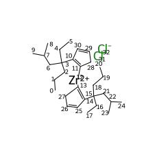 CCCC(CC)(CC(C)C)C1=[C]([Zr+2][C]2=C(C(CC)(CCC)CC(C)C)C=CC2)CC=C1.[Cl-].[Cl-]